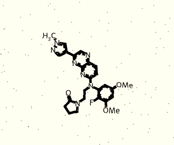 COc1cc(OC)c(F)c(N(CCN2CCCC2=O)c2ccc3ncc(-c4cnn(C)c4)nc3n2)c1